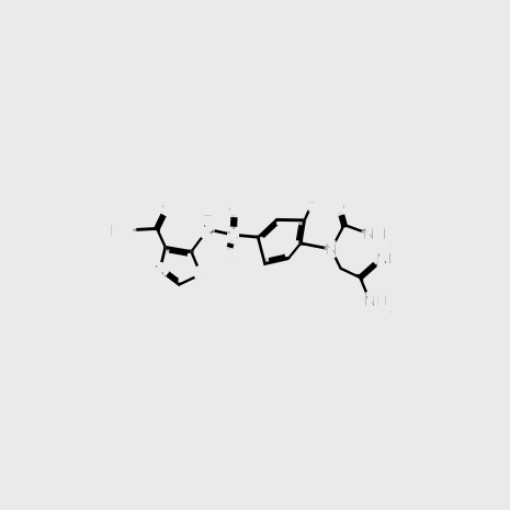 N=C(N)CN(C(N)=O)c1ccc(S(=O)(=O)Nc2scnc2C(=O)O)cc1F